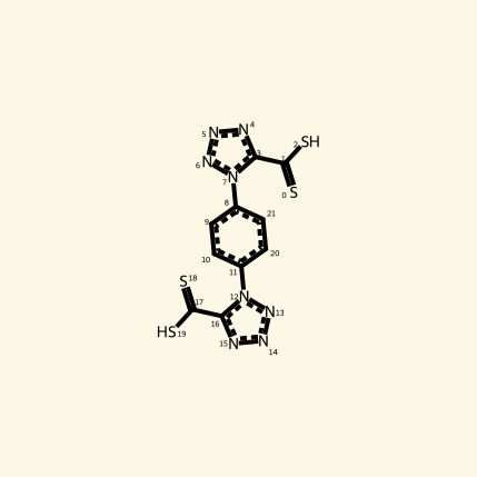 S=C(S)c1nnnn1-c1ccc(-n2nnnc2C(=S)S)cc1